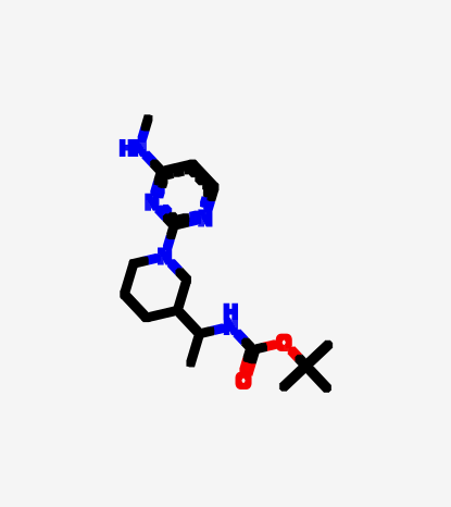 CNc1ccnc(N2CCCC(C(C)NC(=O)OC(C)(C)C)C2)n1